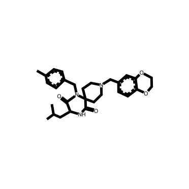 Cc1ccc(CN2C(=O)C(CC(C)C)NC(=O)C23CCN(Cc2ccc4c(c2)OCCO4)CC3)cc1